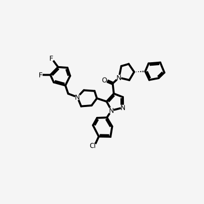 O=C(c1cnn(-c2ccc(Cl)cc2)c1C1CCN(Cc2ccc(F)c(F)c2)CC1)N1CC[C@H](c2ccccc2)C1